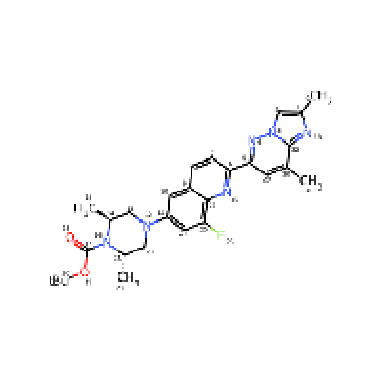 Cc1cn2nc(-c3ccc4cc(N5C[C@H](C)N(C(=O)OC(C)(C)C)[C@@H](C)C5)cc(F)c4n3)cc(C)c2n1